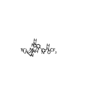 CN1CCN(c2ccnc3[nH]c(-c4n[nH]c5ccc(-c6cncc(NC(=O)C(F)(F)F)c6)nc45)nc23)CC1